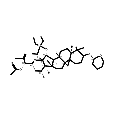 C=C(C)[C@@H](OC(C)=O)[C@H]1C[C@@H](C)[C@H]2[C@H](O1)[C@H](O[Si](CC)(CC)CC)[C@@]1(C)[C@@H]3CC[C@H]4C(C)(C)C(O[C@H]5CCCCO5)CCC45C[C@@]35CC[C@]21C